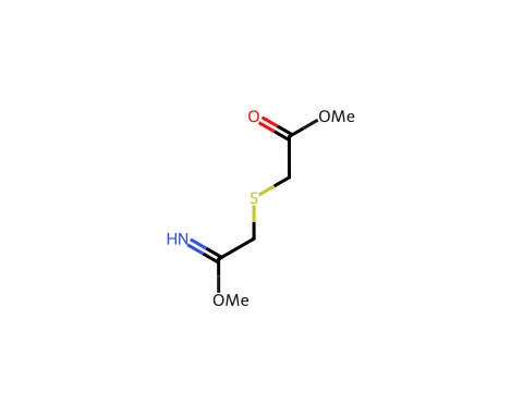 COC(=N)CSCC(=O)OC